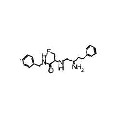 N[C@H](CCc1ccccc1)CNC(CF)C(=O)NCc1cc[c]cc1